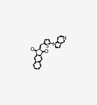 O=C1C(=Cc2ccc(-n3ccc4cnccc43)s2)C(=O)c2cc3ccccc3cc21